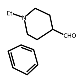 CCN1CCC(C=O)CC1.c1ccccc1